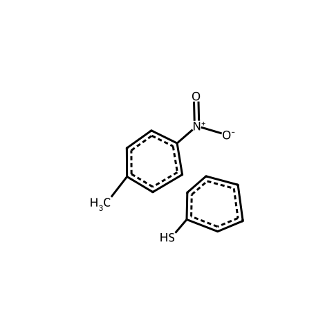 Cc1ccc([N+](=O)[O-])cc1.Sc1ccccc1